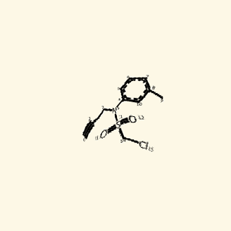 C#CCN(c1cccc(C)c1)S(=O)(=O)CCl